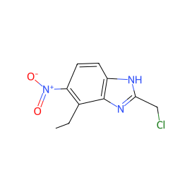 CCc1c([N+](=O)[O-])ccc2[nH]c(CCl)nc12